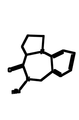 CCCCN1Cc2ccccc2N2CCCC2C1=O